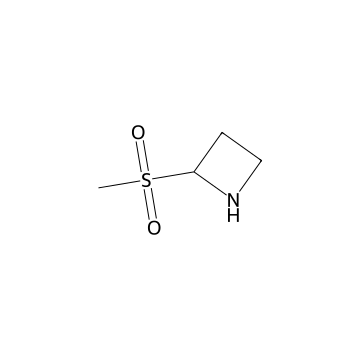 CS(=O)(=O)C1CCN1